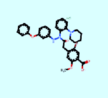 COc1cc(CC(=O)N(Nc2cccc(Oc3ccccc3)c2)c2ccccc2N2CCCCC2)c(Br)cc1C(=O)O.Cl